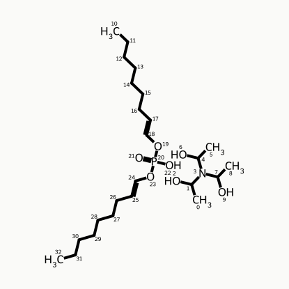 CC(O)N(C(C)O)C(C)O.CCCCCCCC=COP(=O)(O)OC=CCCCCCCC